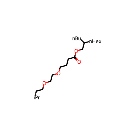 CCCCCCC(CCCC)COC(=O)CCCOCCOCCC(C)C